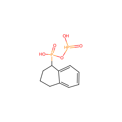 O=[PH](O)OP(=O)(O)C1CCCc2ccccc21